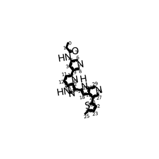 CCC(=O)Nc1cncc(-c2ccc3[nH]nc(-c4cc5c(-c6ccc(C)s6)cncc5[nH]4)c3n2)c1